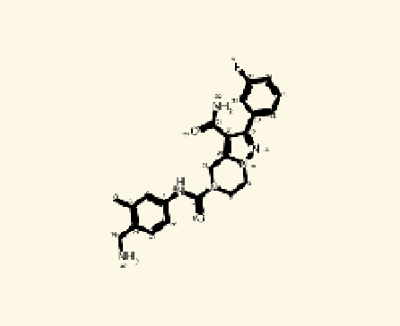 Cc1cc(NC(=O)N2CCn3nc(-c4cccc(F)c4)c(C(N)=O)c3C2)ccc1CN